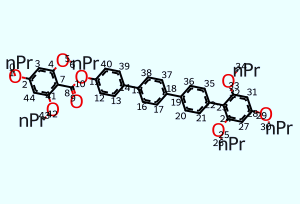 CCCOc1cc(OCCC)c(C(=O)Oc2ccc(-c3ccc(-c4ccc(-c5c(OCCC)cc(OCCC)cc5OCCC)cc4)cc3)cc2)c(OCCC)c1